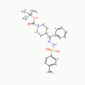 Cc1ccc(S(=O)(=O)NN=C(c2ccccc2)C2CCN(C(=O)OC(C)(C)C)CC2)cc1